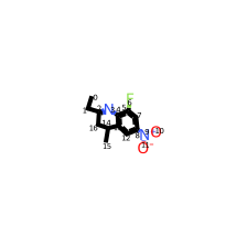 CCC1=Nc2c(F)cc([N+](=O)[O-])cc2C(C)C1